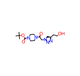 CC(C)(C)OC(=O)N1CCN(C(=O)Cn2cc(CCO)nn2)CC1